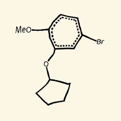 COc1ccc(Br)cc1OC1CCCC1